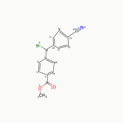 COC(=O)c1ccc(C(Br)c2ccc(C#N)cc2)cc1